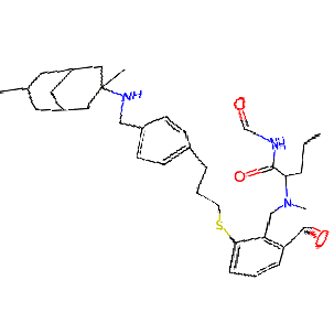 CCCC(C(=O)NC=O)N(C)Cc1c(C=O)cccc1SCCCc1ccc(CNC2(C)CC3CC(C)CC(C3)C2)cc1